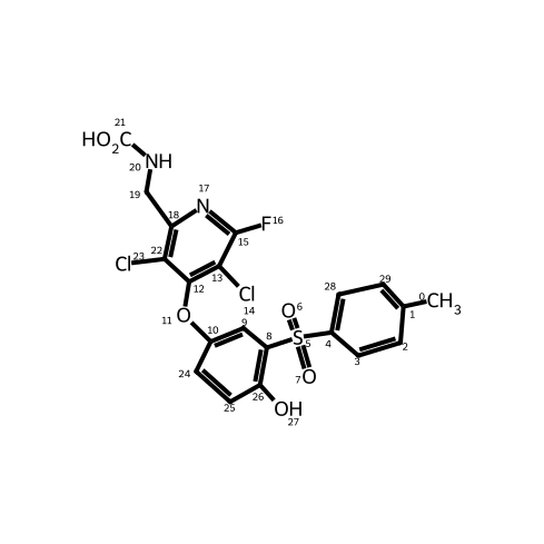 Cc1ccc(S(=O)(=O)c2cc(Oc3c(Cl)c(F)nc(CNC(=O)O)c3Cl)ccc2O)cc1